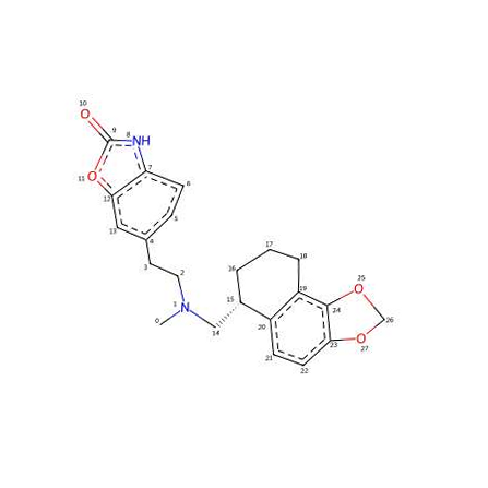 CN(CCc1ccc2[nH]c(=O)oc2c1)C[C@@H]1CCCc2c1ccc1c2OCO1